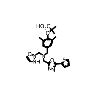 Cc1cc(CN(Cc2nnc(-c3cccs3)o2)CN2NC=CO2)cc(C)c1OC(C)(C)C(=O)O